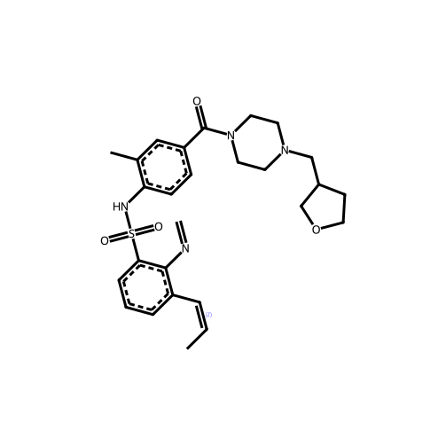 C=Nc1c(/C=C\C)cccc1S(=O)(=O)Nc1ccc(C(=O)N2CCN(CC3CCOC3)CC2)cc1C